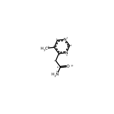 Cc1cn[c]nc1CC(N)=O